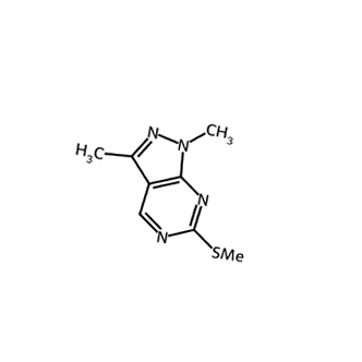 CSc1ncc2c(C)nn(C)c2n1